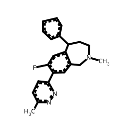 Cc1ccc(-c2cc3c(cc2F)C(c2ccccc2)CCN(C)C3)nn1